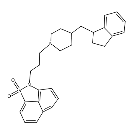 O=S1(=O)c2cccc3cccc(c23)N1CCCN1CCC(CC2CCc3ccccc32)CC1